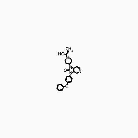 C=CC(O)N1CCC(n2c(=O)n(-c3ccc(Oc4ccccc4)cc3)c3cnccc32)CC1